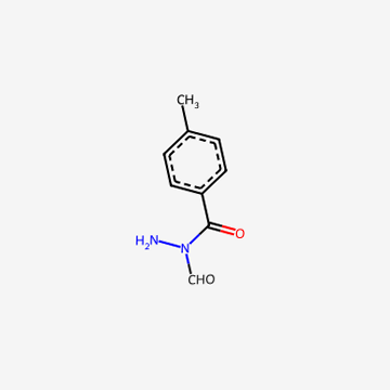 Cc1ccc(C(=O)N(N)C=O)cc1